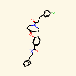 O=C(NCCC1CC2C=CC1C2)c1cccc(OC2CCN(C(=O)CCc3ccc(Cl)cc3)CC2)c1